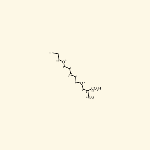 CC(C)(C)C(COCCOCCOCCI)C(=O)O